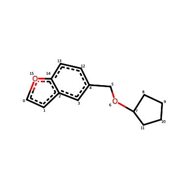 c1cc2cc(COC3CCCC3)ccc2o1